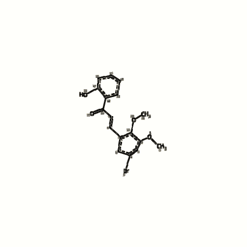 COc1cc(Br)cc(/C=C/C(=O)c2ccccc2O)c1OC